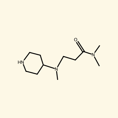 CN(C)C(=O)CCN(C)C1CCNCC1